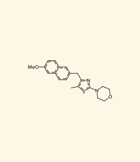 COc1ccc2cc(Cc3nc(N4CCOCC4)sc3C)ccc2c1